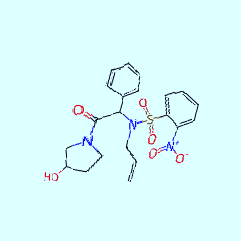 C=CCN(C(C(=O)N1CCC(O)C1)c1ccccc1)S(=O)(=O)c1ccccc1[N+](=O)[O-]